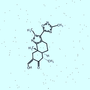 Cc1noc(-c2c3c(nn2C)[C@@]2(C)C/C(=C/O)C(=O)[C@@H](C)[C@@H]2CC3)n1